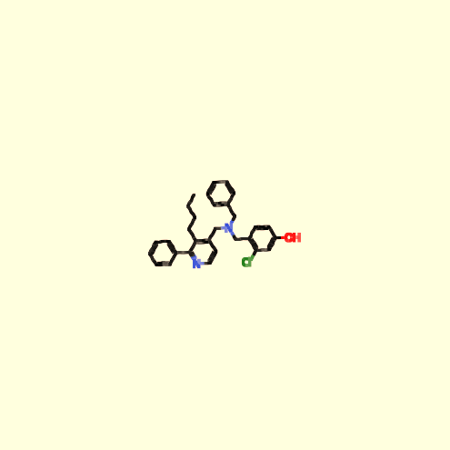 CCCCc1c(CN(Cc2ccccc2)Cc2ccc(O)cc2Cl)ccnc1-c1ccccc1